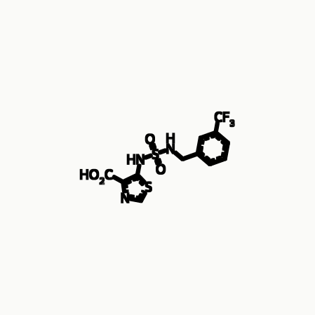 O=C(O)c1ncsc1NS(=O)(=O)NCc1cccc(C(F)(F)F)c1